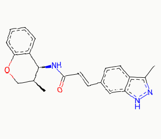 Cc1n[nH]c2cc(/C=C/C(=O)N[C@@H]3c4ccccc4OC[C@@H]3C)ccc12